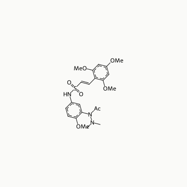 COc1cc(OC)c(C=CS(=O)(=O)Nc2ccc(OC)c(N(C(C)=O)N(C)C)c2)c(OC)c1